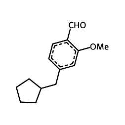 COc1cc(CC2CCCC2)ccc1C=O